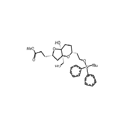 COC(=O)CC[C@H]1C[C@]2(CO)O[C@@H](CCO[Si](c3ccccc3)(c3ccccc3)C(C)(C)C)CC[C@]2(O)O1